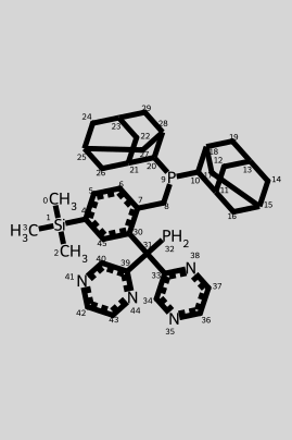 C[Si](C)(C)c1ccc(CP(C2C3CC4CC(C3)CC2C4)C2C3CC4CC(C3)CC2C4)c(C(P)(c2cnccn2)c2cnccn2)c1